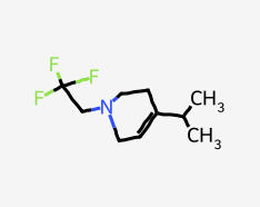 CC(C)C1=CCN(CC(F)(F)F)CC1